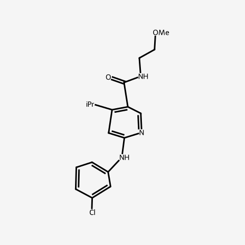 COCCNC(=O)c1cnc(Nc2cccc(Cl)c2)cc1C(C)C